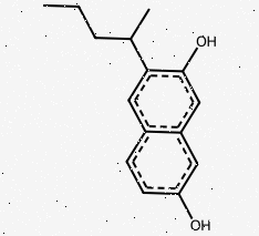 CCCC(C)c1cc2ccc(O)cc2cc1O